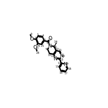 COc1ccc(C(=O)N2CCc3nc(-c4ccccn4)ncc3[C@@H]2C)cc1OC